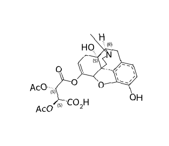 CC(=O)O[C@H](C(=O)O)[C@H](OC(C)=O)C(=O)OC1=CC[C@@]2(O)[C@H]3Cc4ccc(O)c5c4C2(CCN3C)C1O5